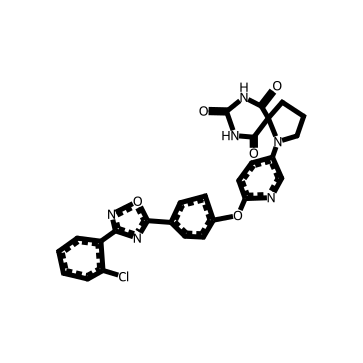 O=C1NC(=O)C2(CCCN2c2ccc(Oc3ccc(-c4nc(-c5ccccc5Cl)no4)cc3)nc2)C(=O)N1